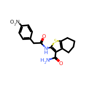 NC(=O)c1c(NC(=O)Cc2ccc([N+](=O)[O-])cc2)sc2c1CCCC2